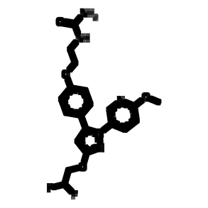 COc1ccc(-n2nc(OCC(F)F)cc2-c2ccc(OCCNC(N)=O)cc2)cn1